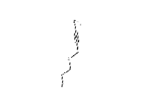 CC#C[CH]SCCF